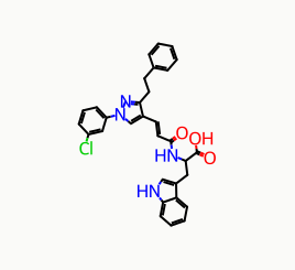 O=C(/C=C/c1cn(-c2cccc(Cl)c2)nc1CCc1ccccc1)NC(Cc1c[nH]c2ccccc12)C(=O)O